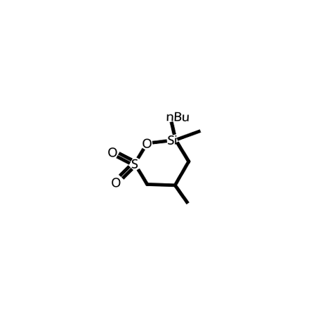 CCCC[Si]1(C)CC(C)CS(=O)(=O)O1